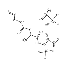 C=CCOC(=O)CC(N)C(=O)NC(C(=O)NC)C(C)(C)C.O=C(O)C(F)(F)F